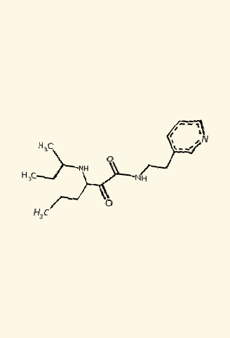 CCCC(NC(C)CC)C(=O)C(=O)NCCc1cccnc1